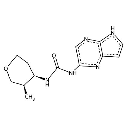 C[C@H]1COCC[C@H]1NC(=O)Nc1cnc2[nH]ccc2n1